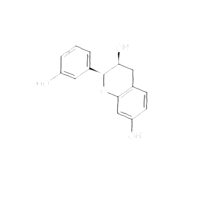 Oc1cccc([C@@H]2Oc3cc(O)ccc3C[C@@H]2O)c1